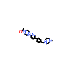 CC(=O)N1CCN(c2ccc(-c3ccc(CN4CCCN(C)CC4)cc3)cn2)CC1